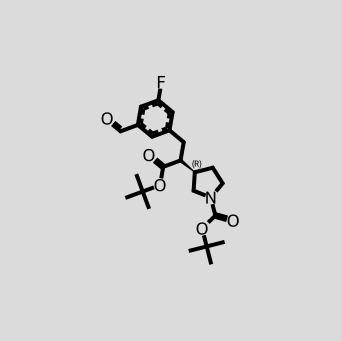 CC(C)(C)OC(=O)C(Cc1cc(F)cc(C=O)c1)[C@H]1CCN(C(=O)OC(C)(C)C)C1